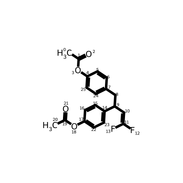 CC(=O)Oc1ccc(CC(C=C(F)F)c2ccc(OC(C)=O)cc2)cc1